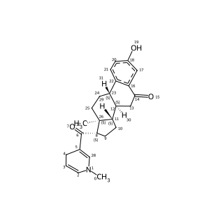 CN1C=CCC(C(=O)[C@H]2CC[C@H]3[C@@H]4CC(=O)c5cc(O)ccc5[C@H]4CC[C@]23C)=C1